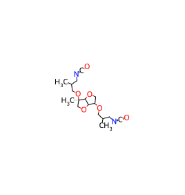 CC(CN=C=O)CO[C@@H]1COC2C1OC[C@@]2(C)OCC(C)CN=C=O